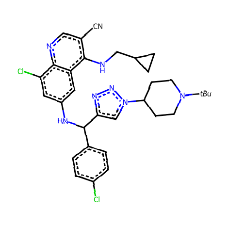 CC(C)(C)N1CCC(n2cc(C(Nc3cc(Cl)c4ncc(C#N)c(NCC5CC5)c4c3)c3ccc(Cl)cc3)nn2)CC1